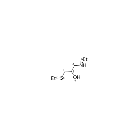 CCNCC(O)CSCC